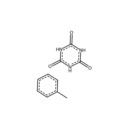 Cc1ccccc1.O=c1[nH]c(=O)[nH]c(=O)[nH]1